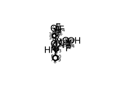 CC(c1cc(-c2ccccc2)[nH]n1)N(C)C(=O)c1ccc(C(=O)C(F)(F)F)s1.O=C(O)C(F)(F)F